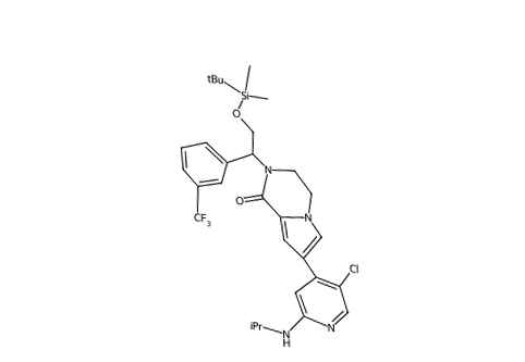 CC(C)Nc1cc(-c2cc3n(c2)CCN(C(CO[Si](C)(C)C(C)(C)C)c2cccc(C(F)(F)F)c2)C3=O)c(Cl)cn1